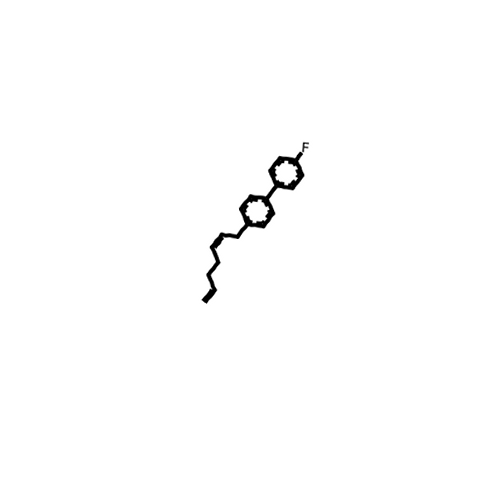 C=CCC/C=C\Cc1ccc(-c2ccc(F)cc2)cc1